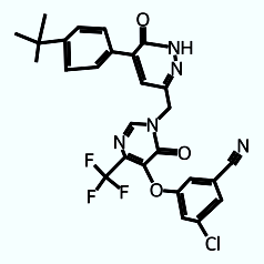 CC(C)(C)c1ccc(-c2cc(Cn3cnc(C(F)(F)F)c(Oc4cc(Cl)cc(C#N)c4)c3=O)n[nH]c2=O)cc1